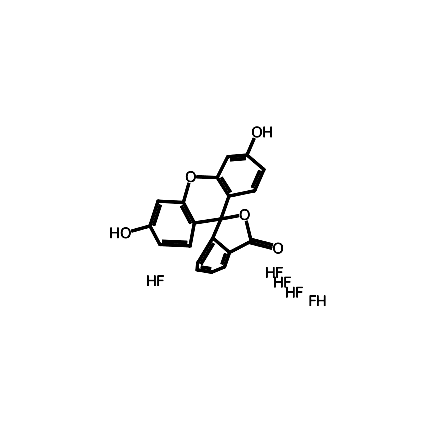 F.F.F.F.F.O=C1OC2(c3ccc(O)cc3Oc3cc(O)ccc32)c2ccccc21